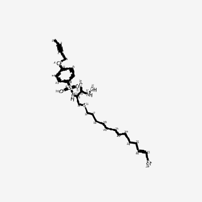 CC#CCOc1ccc(S(=O)(=O)NC(CSCCCCCCCCCCC=CCC)C(=O)NO)cc1